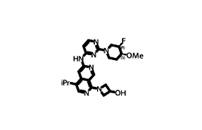 CO[C@H]1CCN(c2nccc(Nc3cc4c(C(C)C)cnc(N5CC(O)C5)c4cn3)n2)C[C@H]1F